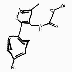 CCC(C)OC(=O)Nc1c(C)noc1-c1ccc(Br)cc1